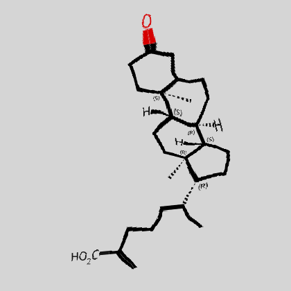 C=C(CCCC(C)[C@H]1CC[C@H]2[C@@H]3CCC4CC(=O)CC[C@]4(C)[C@H]3CC[C@]12C)C(=O)O